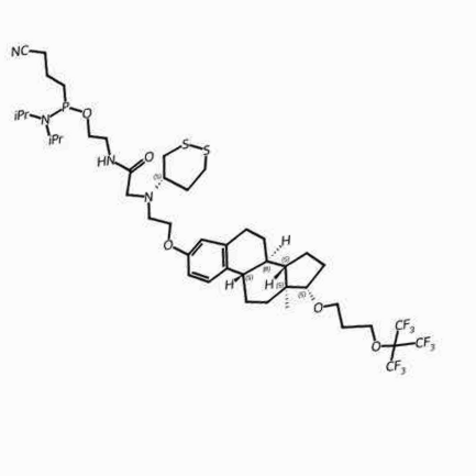 CC(C)N(C(C)C)P(CCCC#N)OCCNC(=O)CN(CCOc1ccc2c(c1)CC[C@@H]1[C@@H]2CC[C@]2(C)[C@@H](OCCCOC(C(F)(F)F)(C(F)(F)F)C(F)(F)F)CC[C@@H]12)[C@H]1CCSSC1